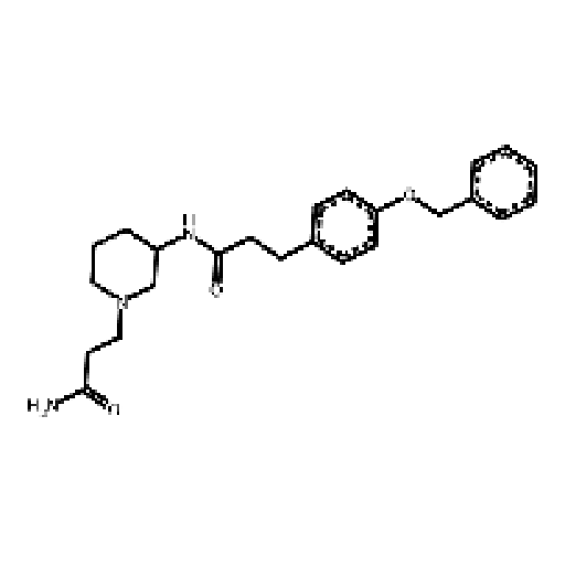 NC(=O)CCN1CCCC(NC(=O)[CH]Cc2ccc(OCc3ccccc3)cc2)C1